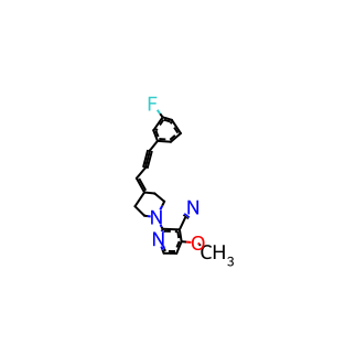 COc1ccnc(N2CCC(=CC#Cc3cccc(F)c3)CC2)c1C#N